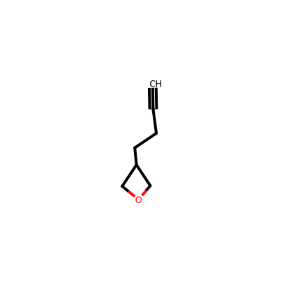 C#CCCC1COC1